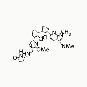 CNCc1cn(C)c2nc(-c3cccc(-c4cccc(-c5cnc(CNCC6CCC(=O)N6)c(OC)n5)c4Cl)c3Cl)ccc12